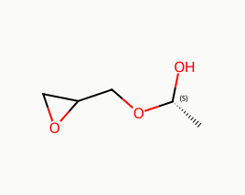 C[C@@H](O)OCC1CO1